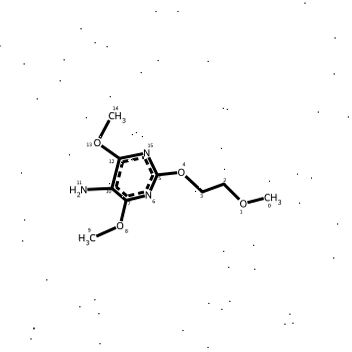 COCCOc1nc(OC)c(N)c(OC)n1